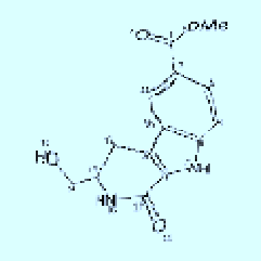 COC(=O)c1ccc2[nH]c3c(c2c1)CC(CO)NC3=O